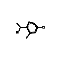 CC(Br)c1ccc(Cl)cc1F